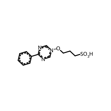 O=S(=O)(O)CCCO[n+]1cnc(-c2ccccc2)nc1